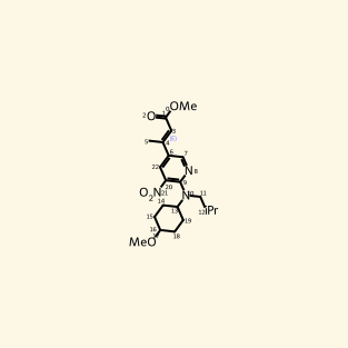 COC(=O)/C=C(\C)c1cnc(N(CC(C)C)C2CCC(OC)CC2)c([N+](=O)[O-])c1